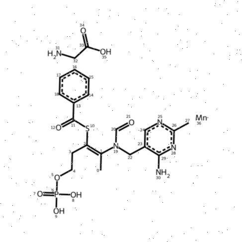 C/C(=C(\CCOP(=O)(O)O)SC(=O)c1ccccc1)N(C=O)Cc1cnc(C)nc1N.NCC(=O)O.[Mn]